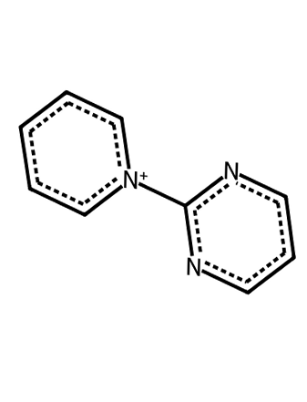 c1cc[n+](-c2ncccn2)cc1